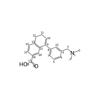 CN(C)Cc1cccc(C2=CCCc3ccc(C(=O)O)cc32)c1